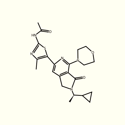 CC(=O)Nc1nc(C)c(-c2cc3c(c(N4CCOCC4)n2)C(=O)N([C@H](C)C2CC2)C3)s1